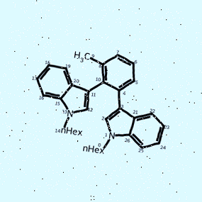 CCCCCCn1cc(-c2cccc(C)c2-c2cn(CCCCCC)c3ccccc23)c2ccccc21